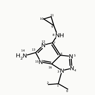 CC(C)n1nnc2c(NC3CC3)nc(N)nc21